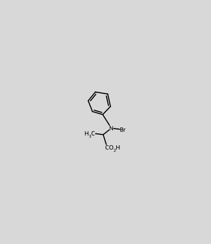 CC(C(=O)O)N(Br)c1ccccc1